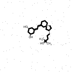 CC(C)(O)CCC[C@H]1CC[C@]2(CCC/C(=C/C=C3C[C@@H](O)C[C@H](O)C3)C2)C1